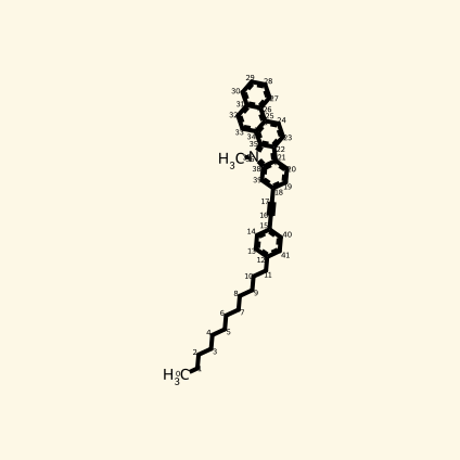 CCCCCCCCCCCCc1ccc(C#Cc2ccc3c4ccc5c6ccccc6ccc5c4n(C)c3c2)cc1